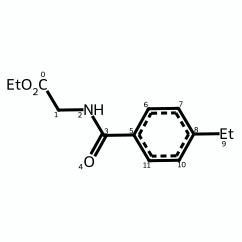 CCOC(=O)CNC(=O)c1ccc(CC)cc1